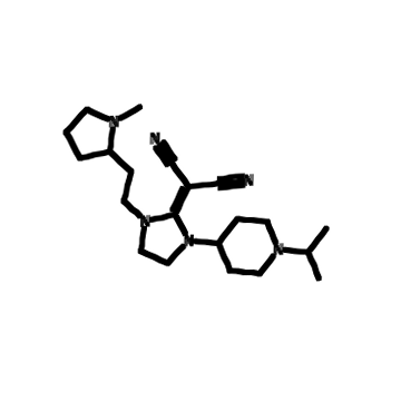 CC(C)N1CCC(N2CCN(CCC3CCCN3C)C2=C(C#N)C#N)CC1